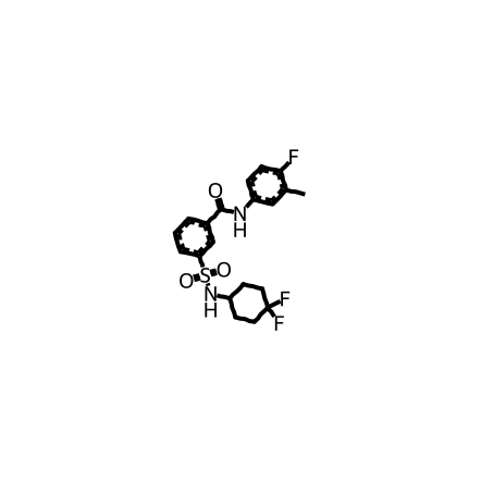 Cc1cc(NC(=O)c2cccc(S(=O)(=O)NC3CCC(F)(F)CC3)c2)ccc1F